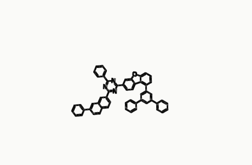 c1ccc(-c2cc(-c3ccccc3)cc(-c3cccc4oc5cc(-c6nc(-c7ccccc7)nc(-c7ccc8ccc(-c9ccccc9)cc8c7)n6)ccc5c34)c2)cc1